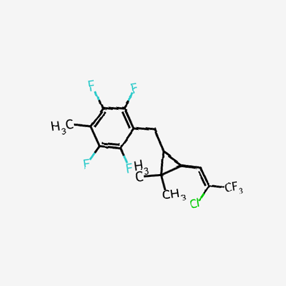 Cc1c(F)c(F)c(CC2C(C=C(Cl)C(F)(F)F)C2(C)C)c(F)c1F